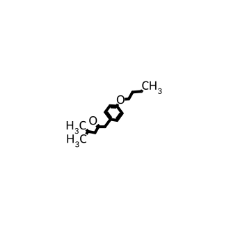 CCCCOc1ccc(CC(=O)CC(C)C)cc1